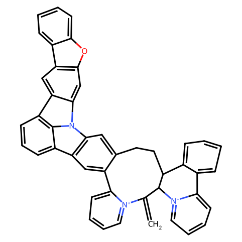 C=C1C2C(CCc3cc4c(cc3-c3cccc[n+]31)c1cccc3c5cc6c(cc5n4c13)oc1ccccc16)c1ccccc1-c1cccc[n+]12